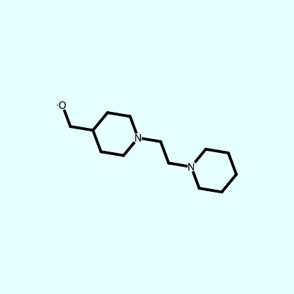 [O]CC1CCN(CCN2CCCCC2)CC1